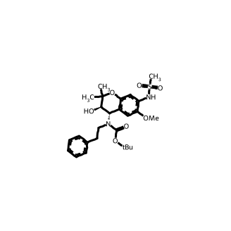 COc1cc2c(cc1NS(C)(=O)=O)OC(C)(C)[C@H](O)[C@H]2N(CCc1ccccc1)C(=O)OC(C)(C)C